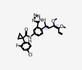 C=C/C(OC)=C(\C=C(/C)c1ccc(NC(=O)C2(c3ccc(Cl)cc3F)CC2)cc1-c1nnn[nH]1)OC